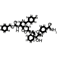 C=CC1(C(O)c2nc3cc(C(N)=O)ccc3o2)C=CC=CC1NC(=O)Cn1c(-c2ccc(F)cc2)ncc(NC(=O)OCc2ccccc2)c1=O